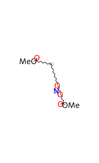 COC(=O)CCCCC/C=C\CCCCCCCCOCC(COCCCC(=O)OC)N(C)C